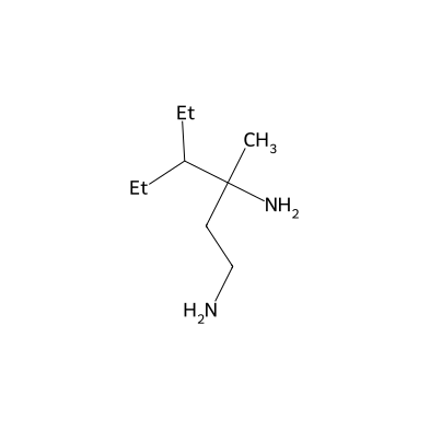 CCC(CC)C(C)(N)CCN